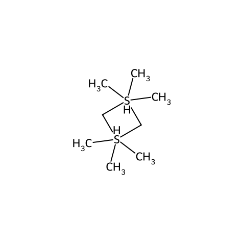 C[SH]1(C)(C)C[SH](C)(C)(C)C1